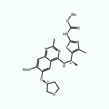 COc1cc2nc(C)nc(N[C@H](C)c3sc(NC(=O)OC(C)(C)C)nc3C)c2cc1O[C@H]1CCOC1